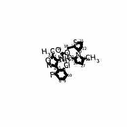 Cc1onc(-c2c(F)cccc2Cl)c1NC(=O)OCc1sccc1-n1c(C)ccc1C